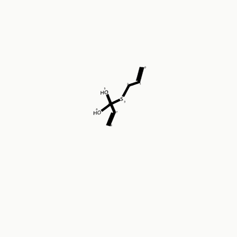 C=CCSC(O)(O)C=C